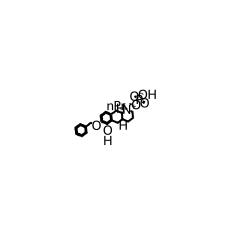 CCC[N+]1(COP(=O)([O-])O)CCC[C@@H]2Cc3c(ccc(OCc4ccccc4)c3O)C[C@H]21